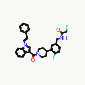 O=C(CF)NCc1ccc(F)c(C2CCN(C(=O)c3cn(C=Cc4ccccc4)c4ccccc34)CC2)c1